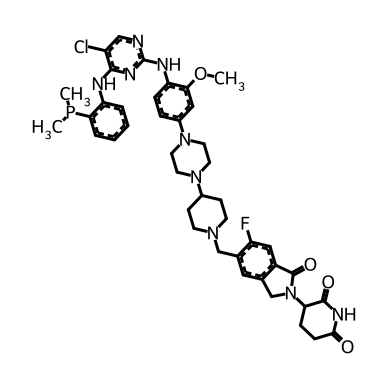 COc1cc(N2CCN(C3CCN(Cc4cc5c(cc4F)C(=O)N(C4CCC(=O)NC4=O)C5)CC3)CC2)ccc1Nc1ncc(Cl)c(Nc2ccccc2P(C)C)n1